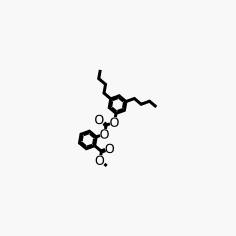 CCCCc1cc(CCCC)cc(OC(=O)Oc2ccccc2C(=O)OC)c1